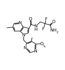 COc1ncnc(Cn2cc(C(=O)NCC(F)(F)C(N)=O)c3ncc(C)cc32)c1C